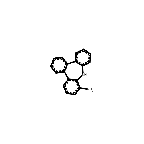 Nc1cccc2c1Nc1ccccc1-c1ccccc1-2